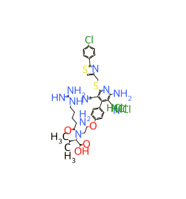 CC(C)[C@H](C(=O)O)N(CCOc1ccc(-c2c(C#N)c(N)nc(SCc3csc(-c4ccc(Cl)cc4)n3)c2C#N)cc1)C(=O)[C@@H](N)CCCNC(=N)N.Cl.Cl.Cl